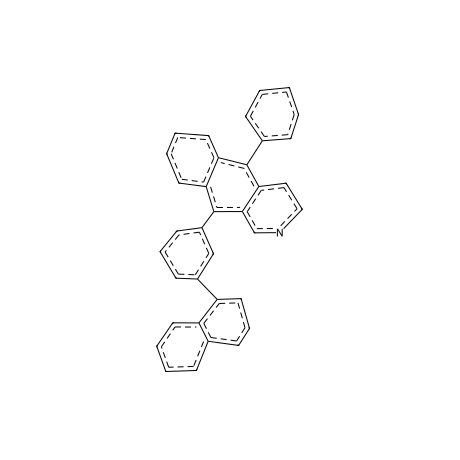 c1ccc(-c2c3ccccc3c(-c3cccc(-c4cccc5ccccc45)c3)c3cnccc23)cc1